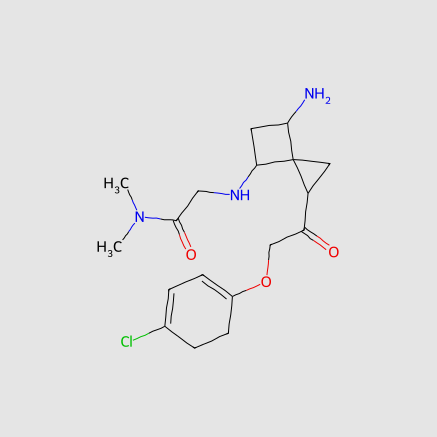 CN(C)C(=O)CNC1CC(N)C12CC2C(=O)COC1=CC=C(Cl)CC1